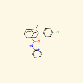 CC1C2CC3CC(C(=O)Nc4ccccn4)(C2)CC1(c1ccc(Cl)cc1)C3